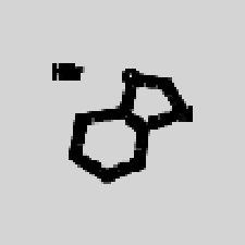 Br.c1ccc2ocnc2c1